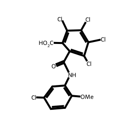 COc1ccc(Cl)cc1NC(=O)c1c(Cl)c(Cl)c(Cl)c(Cl)c1C(=O)O